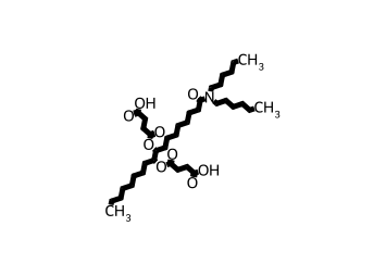 CCCCCCCCC(OC(=O)CCC(=O)O)C(CCCCCCCC(=O)N(CCCCCC)CCCCCC)OC(=O)CCC(=O)O